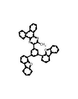 Cc1nc2c3ccccc3c3ccccc3c2nc1-c1cc(-c2cccc3c2oc2ccccc23)cc(-c2cccc3c2oc2ccccc23)c1